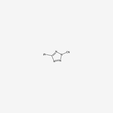 CC(C)c1nnn(C#N)n1